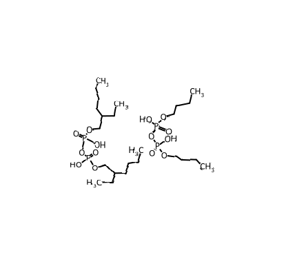 CCCCC(CC)COP(=O)(O)OP(=O)(O)OCC(CC)CCCC.CCCCOP(=O)(O)OP(=O)(O)OCCCC